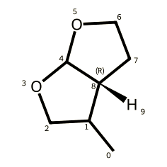 CC1COC2OCC[C@H]12